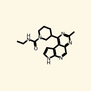 CCNC(=O)N1CCCC(c2nc(C)nc3cnc4[nH]ccc4c23)C1